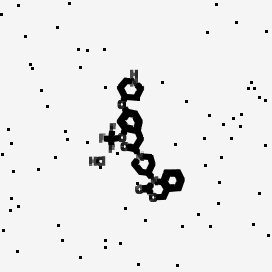 Cl.O=C(Cc1ccc(OC2CCNCC2)cc1OC(F)(F)F)N1CCC(N2C(=O)OCc3ccccc32)CC1